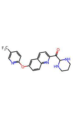 O=C(c1ccc2cc(Oc3ccc(C(F)(F)F)cn3)ccc2n1)C1NCCCN1